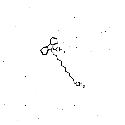 CCCCCCCCCCCC[P]1(C)c2ccccc2-c2ccccc21